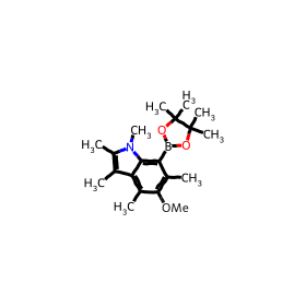 COc1c(C)c(B2OC(C)(C)C(C)(C)O2)c2c(c1C)c(C)c(C)n2C